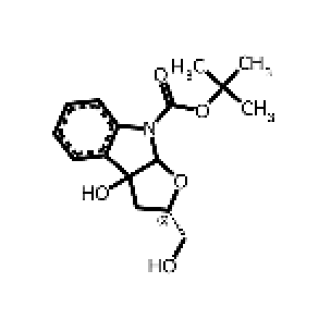 CC(C)(C)OC(=O)N1c2ccccc2C2(O)C[C@@H](CO)OC12